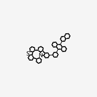 c1cc(-c2ccc3c(c2)c2cccc4c5cccc6sc7cccc(c8ccccc8n3c42)c7c65)cc(-c2c3ccccc3c(-c3ccc4ccccc4c3)c3ccccc23)c1